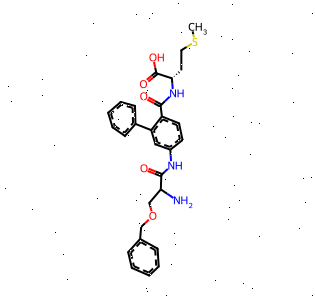 CSCC[C@H](NC(=O)c1ccc(NC(=O)C(N)COCc2ccccc2)cc1-c1ccccc1)C(=O)O